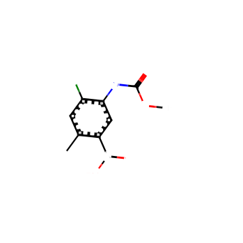 Cc1cc(F)c(NC(=O)OC(C)(C)C)cc1B(O)O